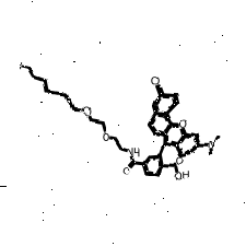 CN(C)c1ccc2c(-c3cc(C(=O)NCCOCCOCCCCCCI)ccc3C(=O)O)c3ccc4cc(=O)ccc4c3oc2c1